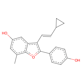 Cc1cc(O)cc2c(C=CC3CC3)c(-c3ccc(O)cc3)oc12